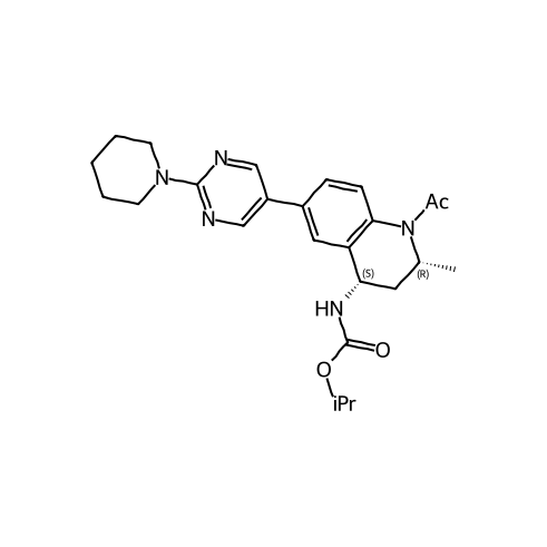 CC(=O)N1c2ccc(-c3cnc(N4CCCCC4)nc3)cc2[C@@H](NC(=O)OC(C)C)C[C@H]1C